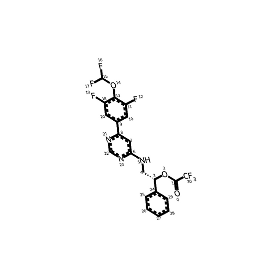 O=C(O[C@@H](CNc1cc(-c2cc(F)c(OC(F)F)c(F)c2)ncn1)c1ccccc1)C(F)(F)F